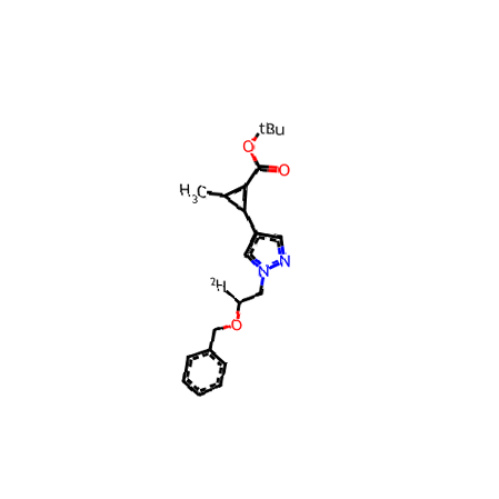 [2H]C(Cn1cc(C2C(C)C2C(=O)OC(C)(C)C)cn1)OCc1ccccc1